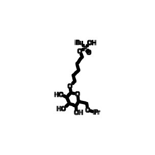 CCC(C)P(=O)(O)OCCCCCOC1OC(COC(C)C)C(O)C(O)C1O